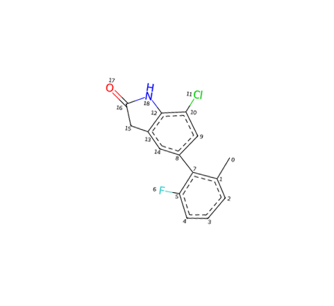 Cc1cccc(F)c1-c1cc(Cl)c2c(c1)CC(=O)N2